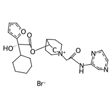 O=C(C[N+]12CCC(CC1)C(OC(=O)[C@](O)(c1ccco1)C1CCCCC1)C2)Nc1cnccn1.[Br-]